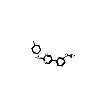 CC(C)Oc1cccc(-c2cnc(N[C@H]3CC[C@H](C)CC3)nc2)c1